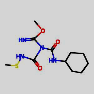 COC(=N)N(C(=O)NSC)C(=O)NC1CCCCC1